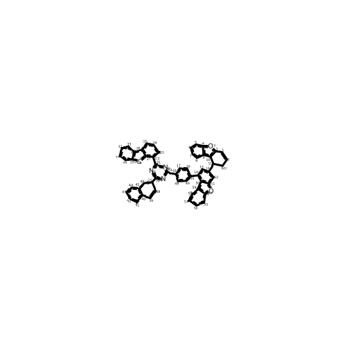 C1=Cc2oc3ccccc3c2C(c2cc(-c3ccc(-c4nc(-c5cccc6c5sc5ccccc56)nc(C5C=Cc6ccccc6C5)n4)cc3)c3c(c2)oc2ccccc23)C1